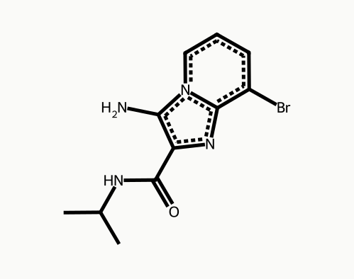 CC(C)NC(=O)c1nc2c(Br)cccn2c1N